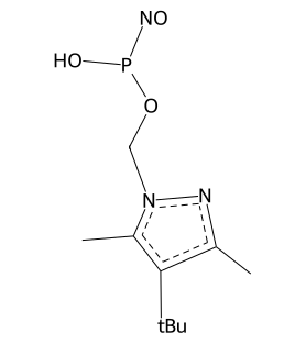 Cc1nn(COP(O)N=O)c(C)c1C(C)(C)C